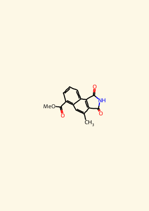 COC(=O)c1cccc2c3c(c(C)cc12)C(=O)NC3=O